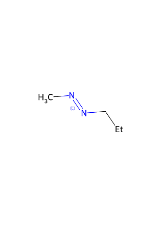 CCC/N=N/C